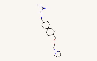 N=C(N)NN=CC1CCC2(CC1)CCC(COCCN1CCCC1)CC2